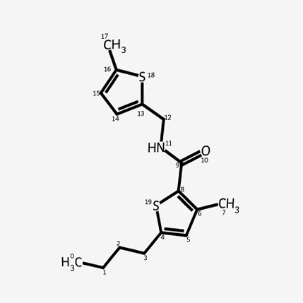 CCCCc1cc(C)c(C(=O)NCc2ccc(C)s2)s1